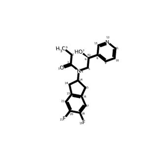 CCC(=O)N(C[C@@H](O)c1cccnc1)C1Cc2cc(F)c(F)cc2C1